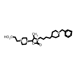 CC1C(N2CCN(CCC(=O)O)CC2)OC(=O)N1CCCCC1CCN(Cc2ccccc2)CC1